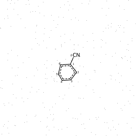 N#Cc1[c]cc[c]c1